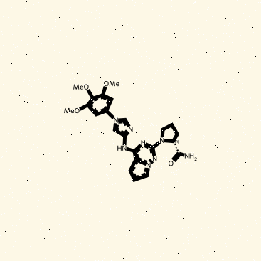 COc1cc(-n2cnc(Nc3nc(N4CCC[C@@H]4C(N)=O)nn4cccc34)c2)cc(OC)c1OC